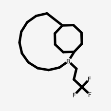 FC(F)(F)CCB1CCCCCCCCCCC2CCCC1CCC2